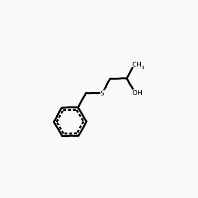 CC(O)CSCc1ccccc1